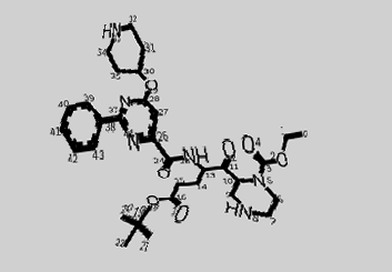 CCOC(=O)N1CCNCC1C(=O)C(CCC(=O)OC(C)(C)C)NC(=O)c1cc(OC2CCNCC2)nc(-c2ccccc2)n1